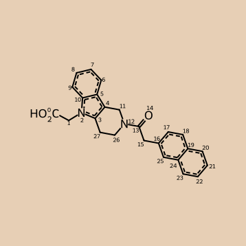 O=C(O)Cn1c2c(c3ccccc31)CN(C(=O)Cc1ccc3ccccc3c1)CC2